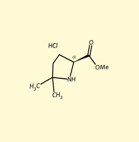 COC(=O)[C@@H]1CCC(C)(C)N1.Cl